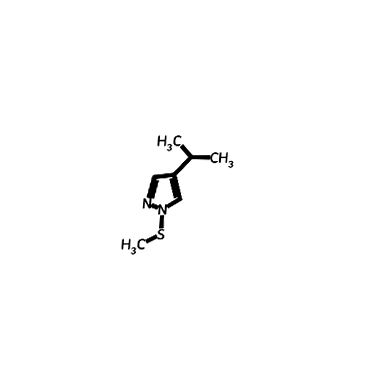 CSn1cc(C(C)C)cn1